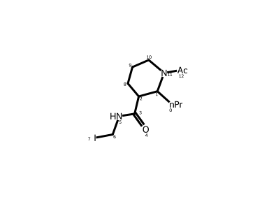 CCCC1C(C(=O)NCI)CCCN1C(C)=O